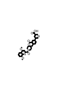 COc1cc(C(=O)N2CCC3(CC2)Cc2ccc(-c4cncc(C(=O)O)c4)cc2C(=O)O3)nc2c(OC)cccc12